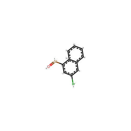 O=[S+]c1cc(Br)cc2ccccc12